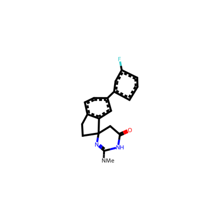 CNC1=NC2(CCc3ccc(-c4cccc(F)c4)cc32)CC(=O)N1